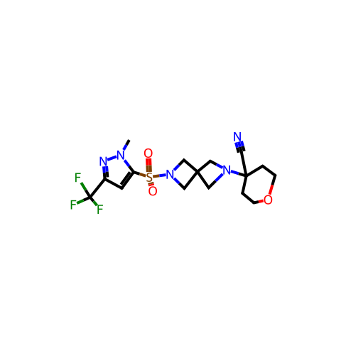 Cn1nc(C(F)(F)F)cc1S(=O)(=O)N1CC2(CN(C3(C#N)CCOCC3)C2)C1